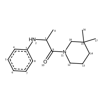 CC(Nc1ccccc1)C(=O)N1CCCC(C)(C)C1